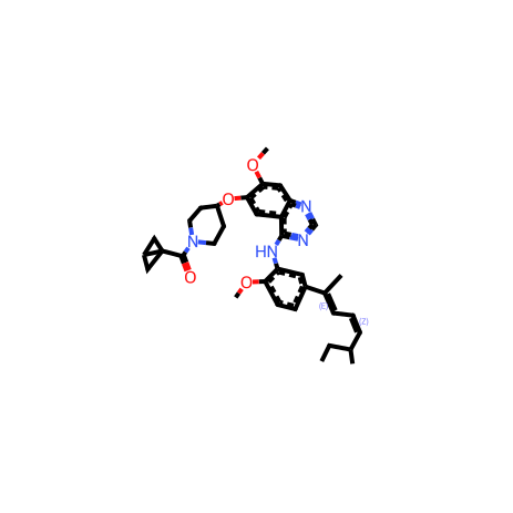 CCC(C)/C=C\C=C(/C)c1ccc(OC)c(Nc2ncnc3cc(OC)c(OC4CCN(C(=O)C56CC5C6)CC4)cc23)c1